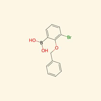 OB(O)c1cccc(Br)c1OCc1ccccc1